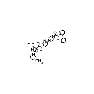 CC1CCCN(c2nc(C(F)(F)F)c(C(=O)Nc3ccc(N4CCN(C(=O)Nc5ccccc5-c5ccccc5)CC4)nc3)o2)C1